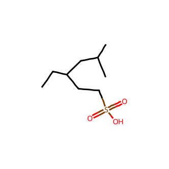 CCC(CCS(=O)(=O)O)CC(C)C